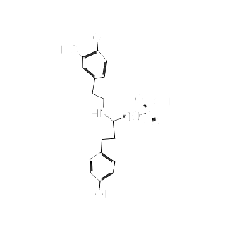 CC(CCc1ccc(O)cc1)NCCc1ccc(O)c(O)c1.O=S(=O)(O)O